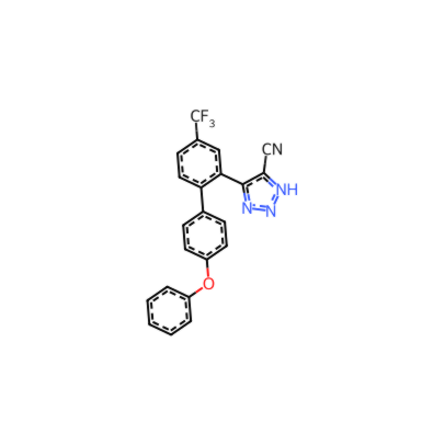 N#Cc1[nH]nnc1-c1cc(C(F)(F)F)ccc1-c1ccc(Oc2ccccc2)cc1